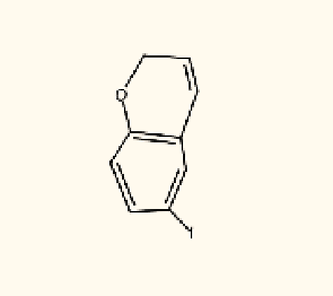 Ic1ccc2c(c1)C=CCO2